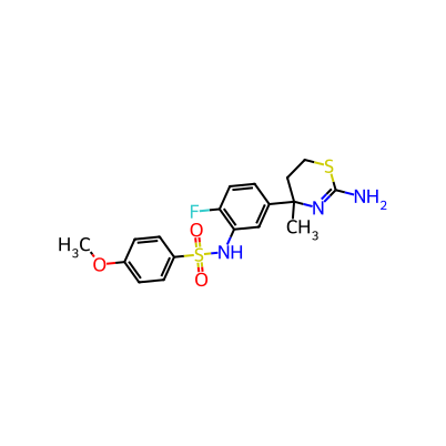 COc1ccc(S(=O)(=O)Nc2cc(C3(C)CCSC(N)=N3)ccc2F)cc1